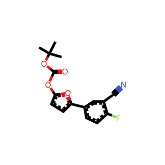 CC(C)(C)OC(=O)Oc1ccc(-c2ccc(F)c(C#N)c2)o1